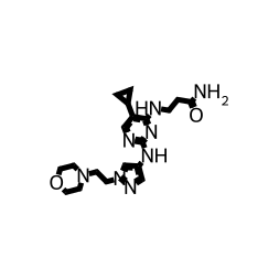 NC(=O)CCNc1nc(Nc2cnn(CCN3CCOCC3)c2)ncc1C1CC1